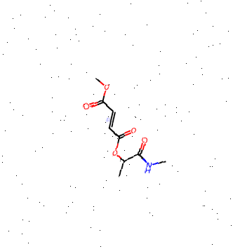 CNC(=O)C(C)OC(=O)/C=C/C(=O)OC